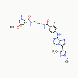 Cc1cc(Nc2nccn3c(-c4cn(CC#N)nc4C(F)(F)F)cnc23)ccc1C(=O)NCCCNC(=O)[C@@H]1C[C@@H](OC=O)CN1